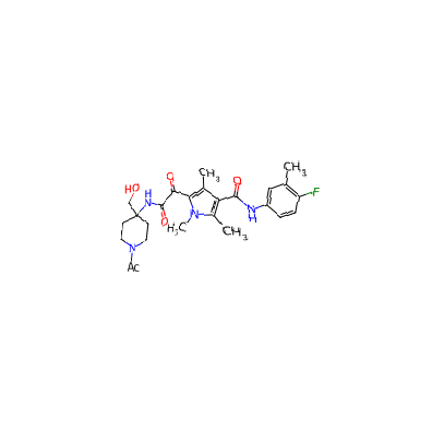 CC(=O)N1CCC(CO)(NC(=O)C(=O)c2c(C)c(C(=O)Nc3ccc(F)c(C)c3)c(C)n2C)CC1